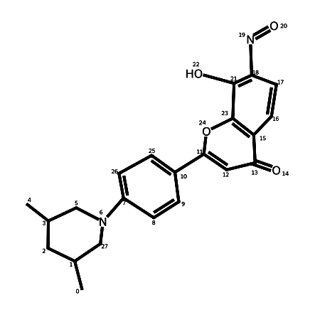 CC1CC(C)CN(c2ccc(-c3cc(=O)c4ccc(N=O)c(O)c4o3)cc2)C1